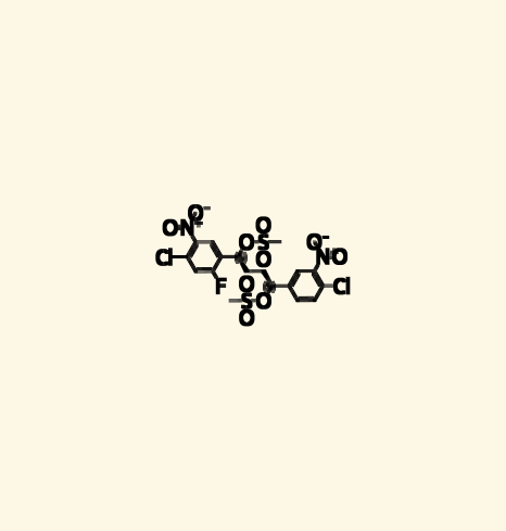 CS(=O)(=O)O[C@@H](CC[C@H](OS(C)(=O)=O)c1cc([N+](=O)[O-])c(Cl)cc1F)c1ccc(Cl)c([N+](=O)[O-])c1